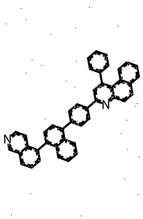 c1ccc(-c2cc(-c3ccc(-c4ccc(-c5cccc6cnccc56)c5ccccc45)cc3)nc3ccc4ccccc4c23)cc1